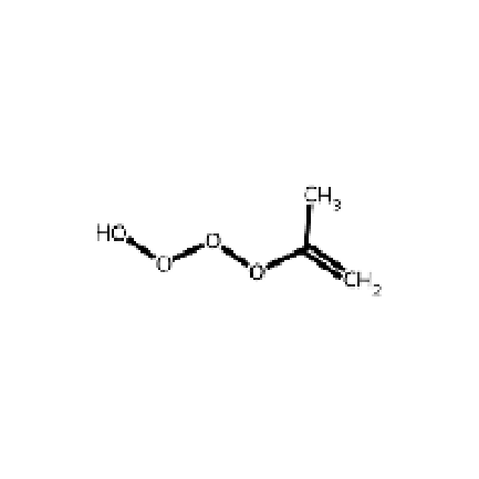 C=C(C)OOOO